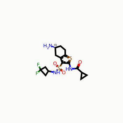 N[C@H]1CCc2sc(NC(=O)C3CC3)c(S(=O)(=O)NC3CC(F)(F)C3)c2C1